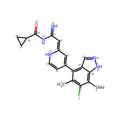 CSc1c(F)c(C)c(C2=C/C(=C/C(=N)NC(=O)C3CC3)NC=C2)c2cn[nH]c12